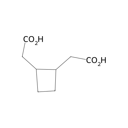 O=C(O)CC1CCC1CC(=O)O